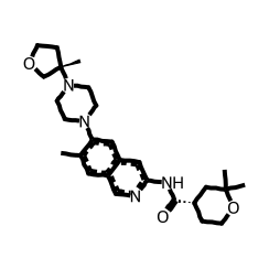 Cc1cc2cnc(NC(=O)[C@H]3CCOC(C)(C)C3)cc2cc1N1CCN([C@@]2(C)CCOC2)CC1